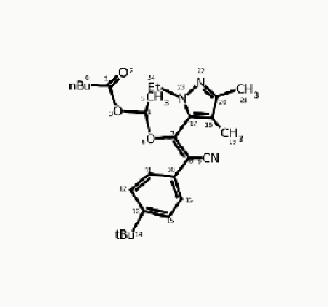 CCCCC(=O)OC(C)O/C(=C(/C#N)c1ccc(C(C)(C)C)cc1)c1c(C)c(C)nn1CC